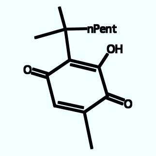 CCCCCC(C)(C)C1=C(O)C(=O)C(C)=CC1=O